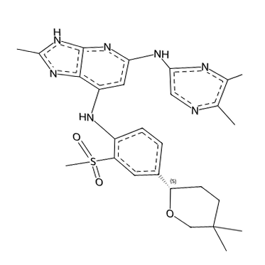 Cc1nc2c(Nc3ccc([C@@H]4CCC(C)(C)CO4)cc3S(C)(=O)=O)cc(Nc3cnc(C)c(C)n3)nc2[nH]1